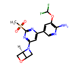 CS(=O)(=O)c1nc(-c2cnc(N)c(OC(F)F)c2)cc(N2CC3OC[C@H]32)n1